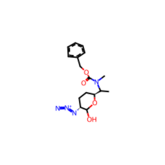 CC([C@@H]1CC[C@@H](N=[N+]=[N-])C(O)O1)N(C)C(=O)OCc1ccccc1